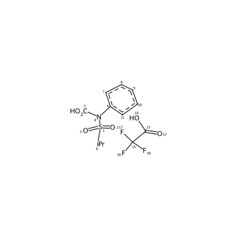 CC(C)S(=O)(=O)N(C(=O)O)c1ccccc1.O=C(O)C(F)(F)F